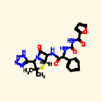 CC1(C)S[C@@H]2C(NC(=O)C(NC(=O)NC(=O)c3ccco3)c3ccccc3)C(=O)N2C1c1nnn[nH]1